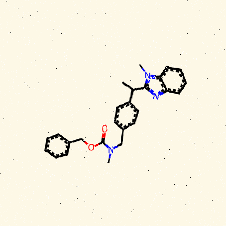 CC(c1ccc(CN(C)C(=O)OCc2ccccc2)cc1)c1nc2ccccc2n1C